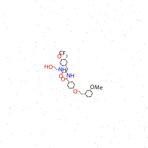 COc1cccc(CCOc2ccc(C(=O)NC(=Cc3ccc(OC(F)(F)F)cc3)C(=O)NCCO)cc2)c1